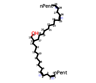 CCCCC/C=C\C/C=C\CCCCCCCCC(CO)CCCCCCCC/C=C\C/C=C\CCCCC